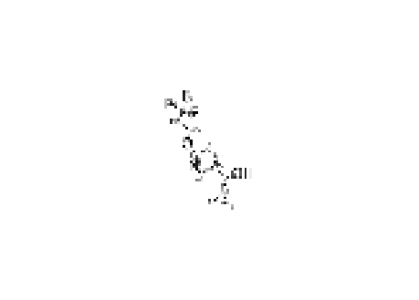 OC(=C1CC1)c1ccc(OCCC(F)(F)F)nc1